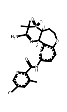 Cc1cc(Cl)cnc1C(=O)Nc1ccc2c(c1)[C@@]1(C)N=C(N)C(C)(C)S(=O)(=O)[C@H]1CCO2